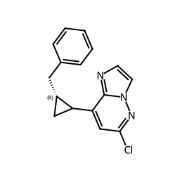 Clc1cc(C2C[C@@H]2Cc2ccccc2)c2nccn2n1